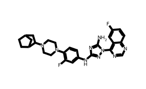 Nc1nc(Nc2ccc(N3CCN(C4CC5CCC4C5)CC3)c(F)c2)nn1-c1ncnc2ccc(F)cc12